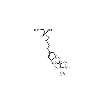 CCP(=O)(O)CCCCC1=CC[C@@H](O[Si](C)(C)C(C)(C)C)C1